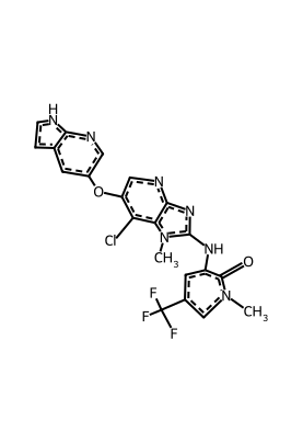 Cn1cc(C(F)(F)F)cc(Nc2nc3ncc(Oc4cnc5[nH]ccc5c4)c(Cl)c3n2C)c1=O